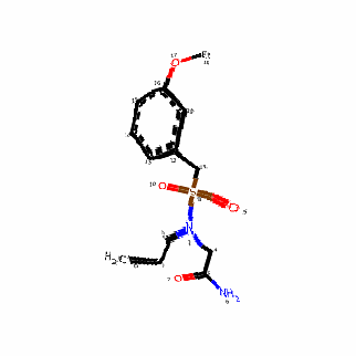 C=CCN(CC(N)=O)S(=O)(=O)Cc1cccc(OCC)c1